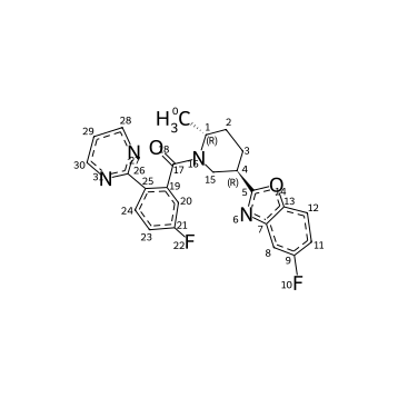 C[C@@H]1CC[C@@H](c2nc3cc(F)ccc3o2)CN1C(=O)c1cc(F)ccc1-c1ncccn1